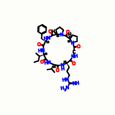 CCC(C)[C@@H]1NC(=O)[C@H](Cc2ccccc2)NC(=O)[C@@H]2CCCN2C(=O)[C@@H]2CCCN2C(=O)CNC(=O)[C@H](CCCNC(=N)N)NC(=O)[C@H](C(C)C)NC1=O